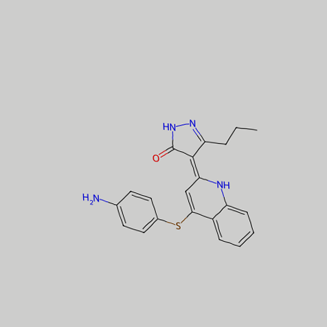 CCCC1=NNC(=O)C1=C1C=C(Sc2ccc(N)cc2)c2ccccc2N1